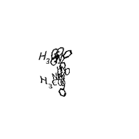 C[C@H](N)C(=O)N[C@H](COCc1ccccc1)C(=O)N1CCC2(CC1)CN(S(C)(=O)=O)c1ccccc12